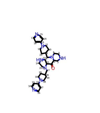 O=C(C1CNCCN1CC1CCN(c2ccncc2)CC1)C1CNCCN1CC1CCN(c2ccncc2)CC1